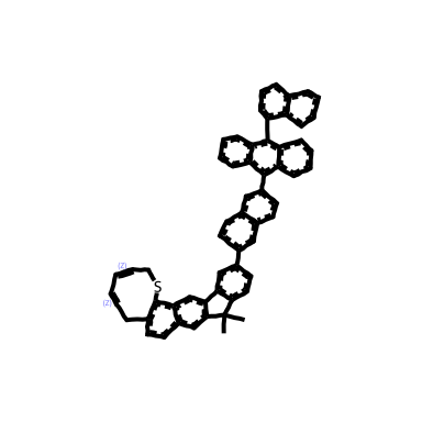 CC1(C)c2ccc(-c3ccc4cc(-c5c6ccccc6c(-c6cccc7ccccc67)c6ccccc56)ccc4c3)cc2-c2cc3c4c(ccc3cc21)C/C=C\C=C/CS4